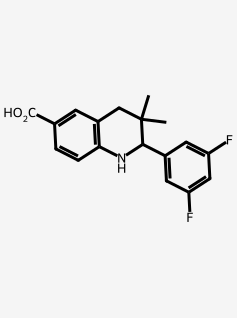 CC1(C)Cc2cc(C(=O)O)ccc2NC1c1cc(F)cc(F)c1